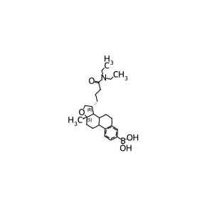 CCN(CC)C(=O)CCC[C@H]1CO[C@@]2(C)CCC3c4ccc(B(O)O)cc4CCC3C12